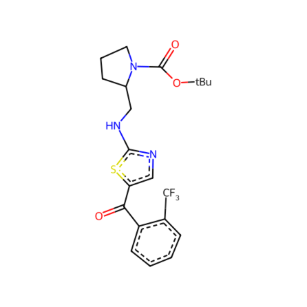 CC(C)(C)OC(=O)N1CCCC1CNc1ncc(C(=O)c2ccccc2C(F)(F)F)s1